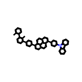 Cc1ccccc1-c1cccc(-c2ccc(-c3ccc4ccc5c(-c6ccc(-n7c8ccccc8c8ccccc87)cc6)ccc6ccc3c4c65)cc2)c1C